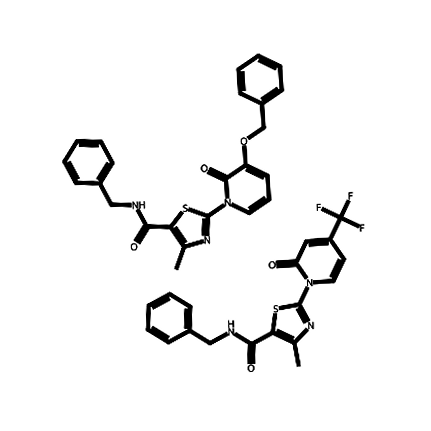 Cc1nc(-n2ccc(C(F)(F)F)cc2=O)sc1C(=O)NCc1ccccc1.Cc1nc(-n2cccc(OCc3ccccc3)c2=O)sc1C(=O)NCc1ccccc1